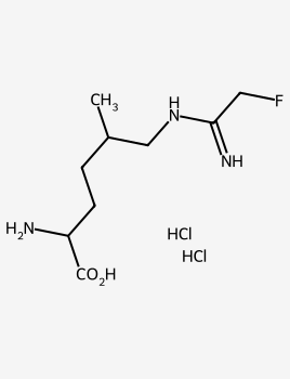 CC(CCC(N)C(=O)O)CNC(=N)CF.Cl.Cl